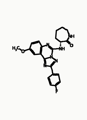 COc1ccc2nc(N[C@@H]3CCCCNC3=O)n3nc(-c4ccc(F)cc4)nc3c2c1